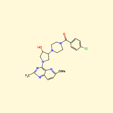 COc1ccc2nc(C(F)(F)F)nc(N3CC(O)C(N4CCN(C(=O)c5ccc(Cl)cc5)CC4)C3)c2n1